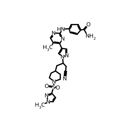 Cc1cnc(Nc2ccc(C(N)=O)cc2)nc1-c1cnn(C(CC#N)CC2CCN(S(=O)(=O)c3ccn(C)n3)CC2)c1